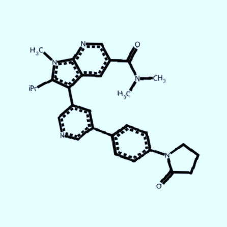 CC(C)c1c(-c2cncc(-c3ccc(N4CCCC4=O)cc3)c2)c2cc(C(=O)N(C)C)cnc2n1C